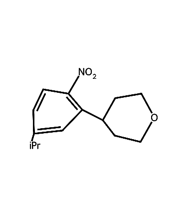 CC(C)c1ccc([N+](=O)[O-])c(C2CCOCC2)c1